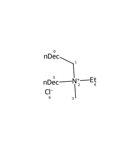 CCCCCCCCCCC[N+](C)(CC)CCCCCCCCCC.[Cl-]